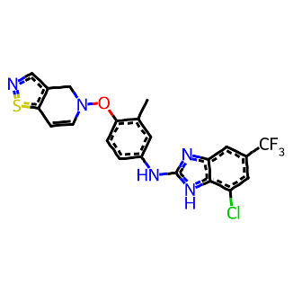 Cc1cc(Nc2nc3cc(C(F)(F)F)cc(Cl)c3[nH]2)ccc1ON1C=Cc2sncc2C1